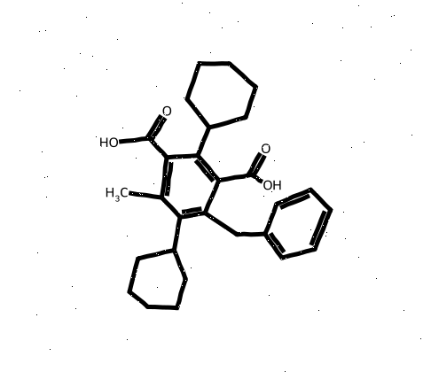 Cc1c(C(=O)O)c(C2CCCCC2)c(C(=O)O)c(Cc2ccccc2)c1C1CCCCC1